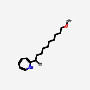 CCCOCCCCCCCCCC(CC)C1=CC=CC=CN1